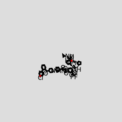 O=C(CNC1CC1)NCCN1CCC[C@H]1C[C@H](CSc1ccccc1)Nc1ccc(S(=O)(=O)NC(=O)c2ccc(N3CCC([C@@H](O)c4ccccc4-c4ccc(Cl)cc4)CC3)cc2)cc1S(=O)(=O)C(F)(F)F